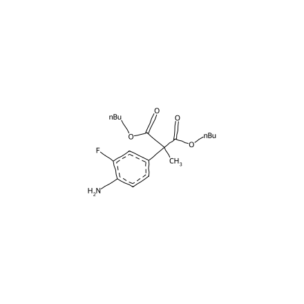 CCCCOC(=O)C(C)(C(=O)OCCCC)c1ccc(N)c(F)c1